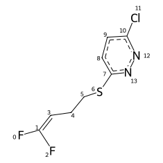 FC(F)=CCCSc1ccc(Cl)nn1